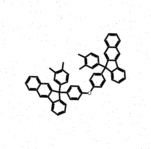 Cc1ccc(C2(c3ccc(Oc4ccc(C5(c6ccc(C)c(C)c6)c6ccccc6-c6cc7ccccc7cc65)cc4)cc3)c3ccccc3-c3cc4ccccc4cc32)cc1C